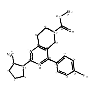 CC1CCCN1c1nc2c(c(-c3ccc(F)cc3)n1)CN(C(=O)OC(C)(C)C)CC2